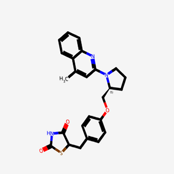 Cc1cc(N2CCC[C@H]2COc2ccc(CC3SC(=O)NC3=O)cc2)nc2ccccc12